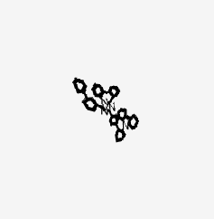 c1ccc(-c2cccc(-c3nc(-c4ccc(-c5ccccc5-n5c6ccccc6c6ccccc65)cc4)nc(-c4ccccc4-c4ccccc4)n3)c2)cc1